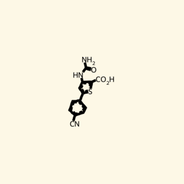 N#Cc1ccc(-c2cc(NC(N)=O)c(C(=O)O)s2)cc1